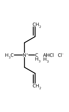 C=CC[N+](C)(C)CC=C.Cl.[AlH3].[Cl-]